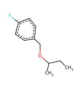 CCC(C)OCc1ccc(F)cc1